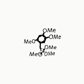 COc1cc(OC)c(OC)cc1C[Si](OC)(OC)OC